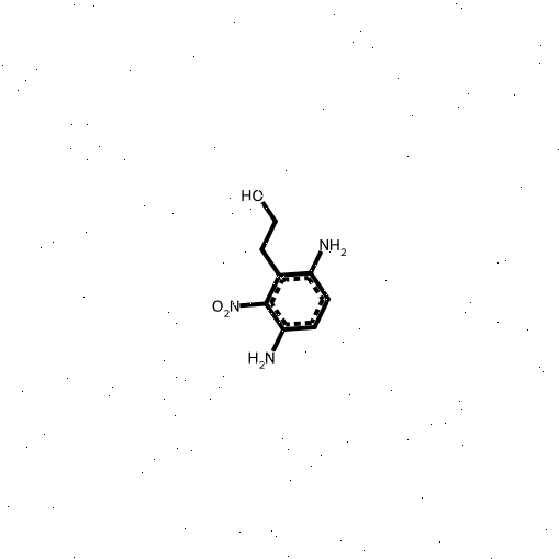 Nc1ccc(N)c([N+](=O)[O-])c1CCO